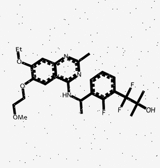 CCOc1cc2nc(C)nc(NC(C)c3cccc(C(F)(F)C(C)(C)O)c3F)c2cc1OCCOC